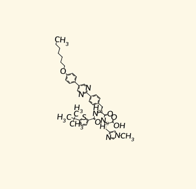 CCCCCCCOc1ccc(-c2cnc(-c3ccc(C[C@H](NC(=O)c4ccc(C(C)(C)C)s4)C(=O)N[C@@H](Cc4cn(C)cn4)C(=O)O)cc3)nc2)cc1